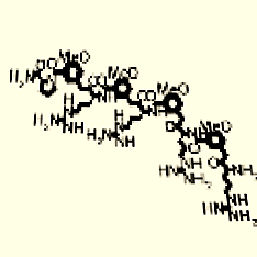 COc1ccc(CC(=O)[C@H](CCCNC(=N)N)NC(=O)c2cc(CC(=O)[C@@H](N)CCCNC(=N)N)ccc2OC)cc1C(=O)N[C@@H](CCCNC(=N)N)C(=O)Cc1ccc(OC)c(C(=O)N[C@@H](CCCNC(=N)N)C(=O)Cc2ccc(OC)c(C(=O)N3CCC[C@H]3C(N)=O)c2)c1